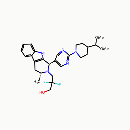 COC(OC)C1CCN(c2ncc([C@@H]3c4[nH]c5ccccc5c4C[C@@H](C)N3CC(F)(F)CO)cn2)CC1